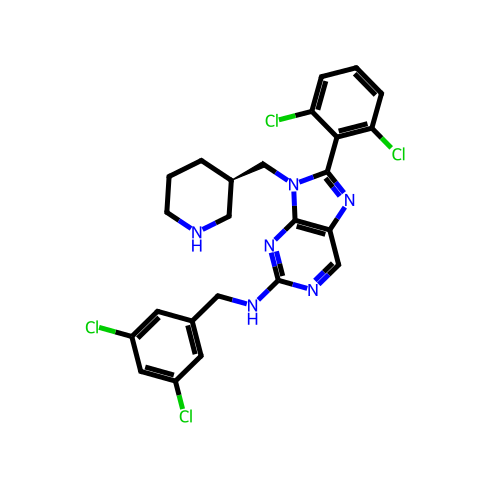 Clc1cc(Cl)cc(CNc2ncc3nc(-c4c(Cl)cccc4Cl)n(C[C@@H]4CCCNC4)c3n2)c1